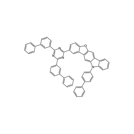 c1ccc(-c2ccc(-n3c4ccccc4c4cc5oc6ccc(-c7nc(-c8cccc(-c9ccccc9)c8)nc(-c8cccc(-c9ccccc9)c8)n7)cc6c5cc43)cc2)cc1